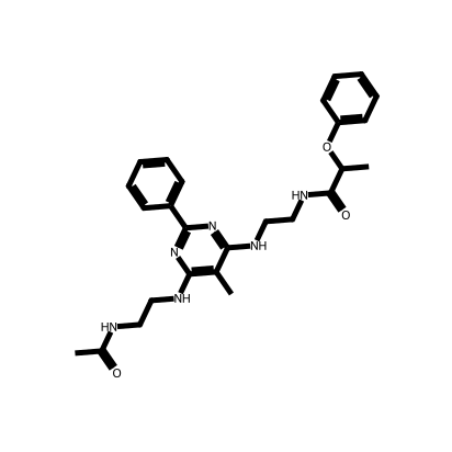 CC(=O)NCCNc1nc(-c2ccccc2)nc(NCCNC(=O)C(C)Oc2ccccc2)c1C